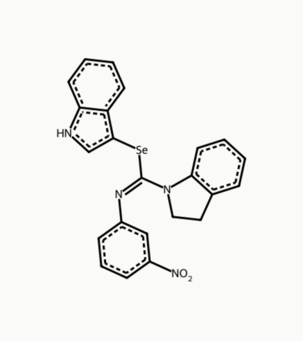 O=[N+]([O-])c1cccc(N=C([Se]c2c[nH]c3ccccc23)N2CCc3ccccc32)c1